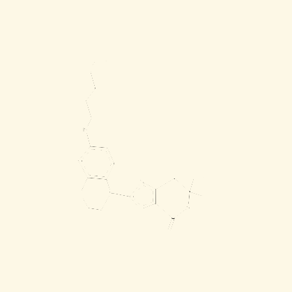 COCCCNc1ccc2c(c1)OCCN2c1nc2c(s1)C(=O)NC(C)(C)C2